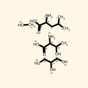 CC(C)CC(N)C(=O)O.CC(O)C(N)C(=O)O.CO.OCC(O)CO